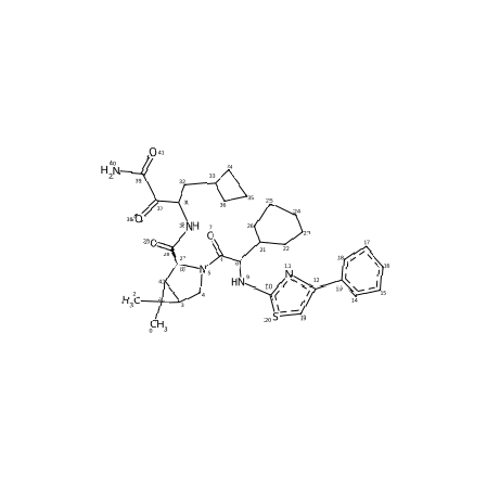 CC1(C)C2CN(C(=O)C(Nc3nc(-c4ccccc4)cs3)C3CCCCC3)[C@H](C(=O)NC(CC3CCC3)C(=O)C(N)=O)C21